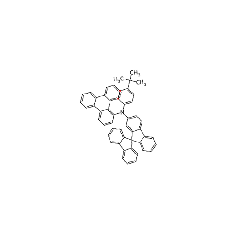 CC(C)(C)c1ccc(N(c2ccc3c(c2)C2(c4ccccc4-c4ccccc42)c2ccccc2-3)c2cccc3c4ccccc4c4ccccc4c23)cc1